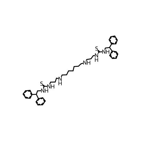 S=C(NCCCNCCCCCCCNCCCNC(=S)NCC(c1ccccc1)c1ccccc1)NCC(c1ccccc1)c1ccccc1